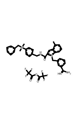 Cc1cccc2c1cc(C(=O)NCc1ccc([N+](C)(C)Cc3ccccc3)cc1)n2Cc1cccc(C(=N)N)c1.O=C(OC(=O)C(F)(F)F)C(F)(F)F